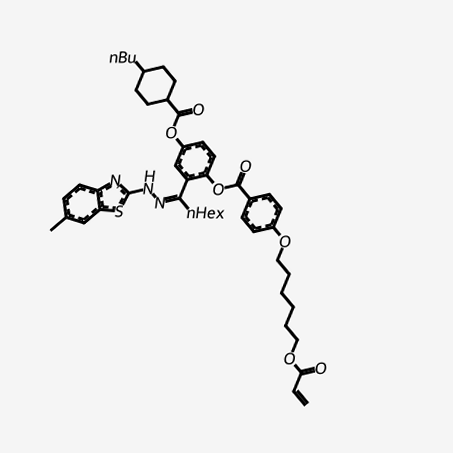 C=CC(=O)OCCCCCCOc1ccc(C(=O)Oc2ccc(OC(=O)C3CCC(CCCC)CC3)cc2C(CCCCCC)=NNc2nc3ccc(C)cc3s2)cc1